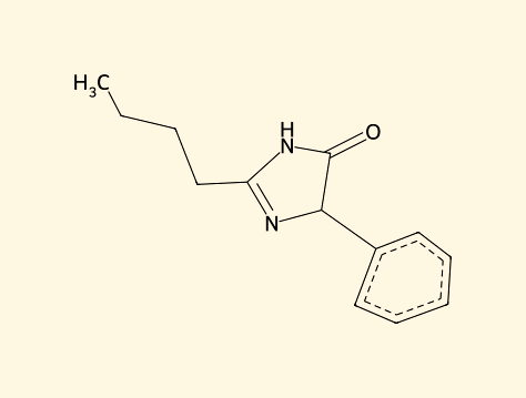 CCCCC1=NC(c2ccccc2)C(=O)N1